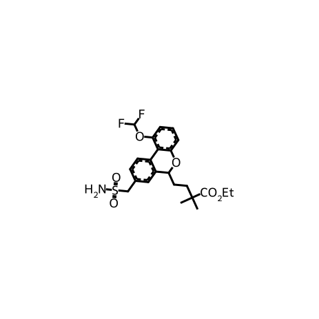 CCOC(=O)C(C)(C)CCC1Oc2cccc(OC(F)F)c2-c2ccc(CS(N)(=O)=O)cc21